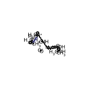 CC(C)c1cc(C(=O)N2Cc3ccc(CN4CCN(CCCCCNC(=O)CCCCC[N+]5=C(/C=C/C=C/C=C6/N(C)c7ccccc7C6(C)C)C(C)(C)c6ccccc65)CC4)cc3C2)c(O)cc1O.O=C[O-]